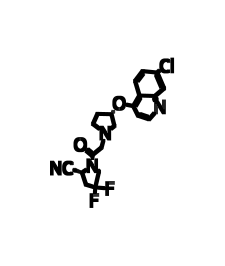 N#C[C@@H]1CC(F)(F)CN1C(=O)CN1CC[C@H](Oc2ccnc3cc(Cl)ccc23)C1